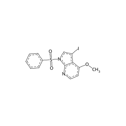 COc1ccnc2c1c(I)cn2S(=O)(=O)c1ccccc1